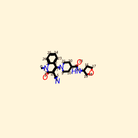 Cn1c(=O)c(C#N)c(N2CCC(C(=O)NC3CCOC3)CC2)c2ccccc21